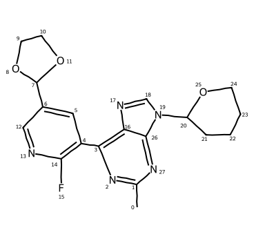 Cc1nc(-c2cc(C3OCCO3)cnc2F)c2ncn(C3CCCCO3)c2n1